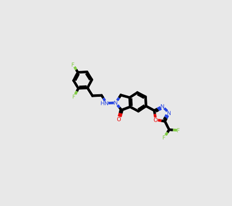 O=C1c2cc(-c3nnc(C(F)F)o3)ccc2CN1NCCc1ccc(F)cc1F